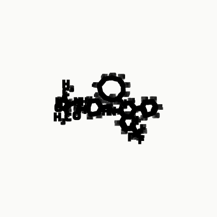 Cc1noc(C)c1NC(=O)N1CCC(CNC2c3ccc(C(F)(F)F)nc3C(c3ccccc3)CN2C2CCCCCCCCC2)CC1